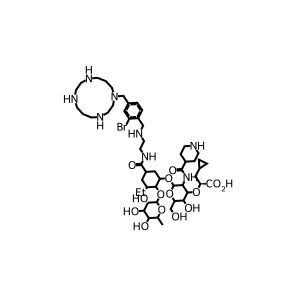 CCC1CC(C(=O)NCCNCc2ccc(CN3CCCNCCNCCCNCC3)cc2Br)CC(OC2OC(CO)C(O)C(O[C@@H](CC3CC3)C(=O)O)C2NC(=O)C2CCNCC2)C1OC1OC(C)C(O)C(O)C1O